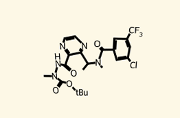 CC(c1nccnc1C(=O)NN(C)C(=O)OC(C)(C)C)N(C)C(=O)c1cc(Cl)cc(C(F)(F)F)c1